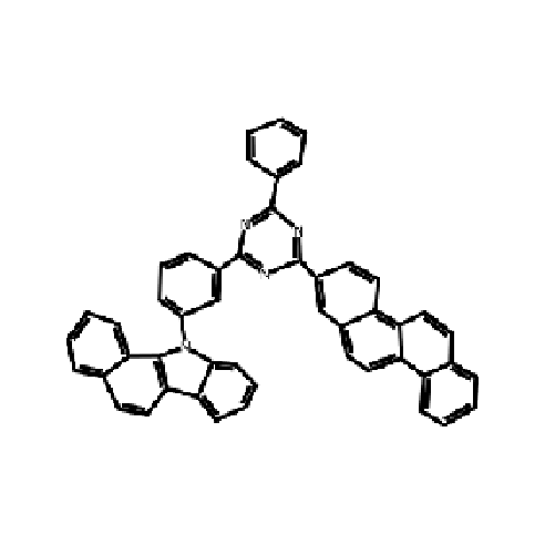 c1ccc(-c2nc(-c3cccc(-n4c5ccccc5c5ccc6ccccc6c54)c3)nc(-c3ccc4c(ccc5c6ccccc6ccc45)c3)n2)cc1